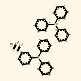 [C]=O.[C]=O.[Pt].c1ccc(P(c2ccccc2)c2ccccc2)cc1.c1ccc(P(c2ccccc2)c2ccccc2)cc1